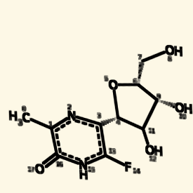 Cc1nc([C@@H]2O[C@H](CO)[C@H](O)C2O)c(F)[nH]c1=O